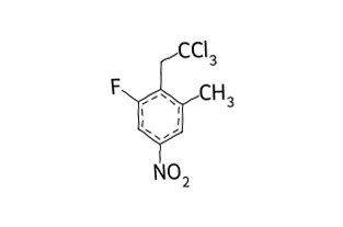 Cc1cc([N+](=O)[O-])cc(F)c1CC(Cl)(Cl)Cl